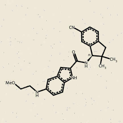 [C-]#[N+]c1ccc2c(c1)[C@H](NC(=O)c1cc3cc(NCCOC)ccc3[nH]1)C(C)(C)C2